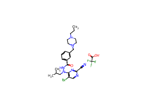 CCCN1CCN(Cc2cccc(C(=O)NN(CC(C)C)c3nc(C#N)ncc3Br)c2)CC1.O=C(O)C(F)(F)F